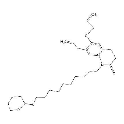 C=CCOc1cc2c(cc1CC=C)N(CCCCCCCCCCOC1CCCCO1)C(=O)CC2